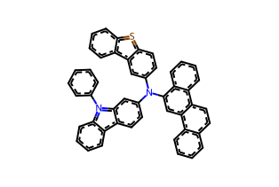 c1ccc(-n2c3ccccc3c3ccc(N(c4ccc5sc6ccccc6c5c4)c4cc5c6ccccc6ccc5c5ccccc45)cc32)cc1